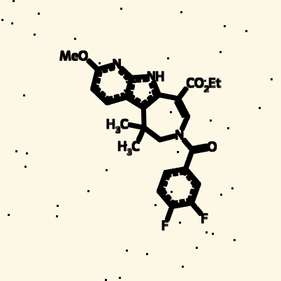 CCOC(=O)C1=CN(C(=O)c2ccc(F)c(F)c2)CC(C)(C)c2c1[nH]c1nc(OC)ccc21